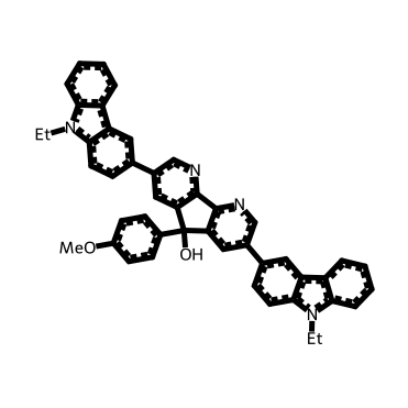 CCn1c2ccccc2c2cc(-c3cnc4c(c3)C(O)(c3ccc(OC)cc3)c3cc(-c5ccc6c(c5)c5ccccc5n6CC)cnc3-4)ccc21